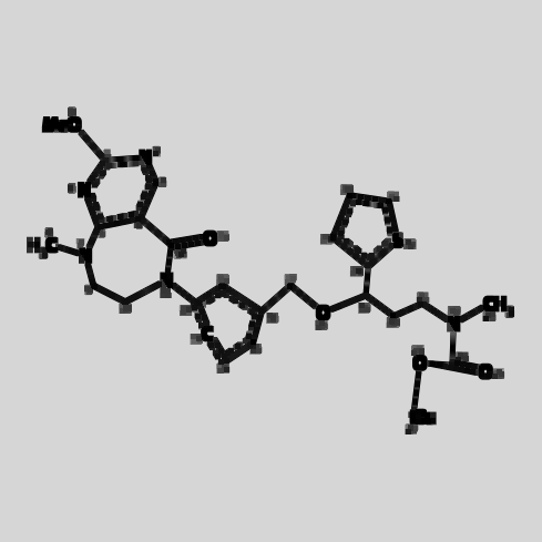 COc1ncc2c(n1)N(C)CCN(c1cccc(COC(CCN(C)C(=O)OC(C)(C)C)c3cccs3)c1)C2=O